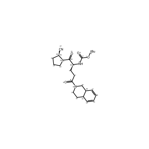 CC(C)(C)OC(=O)N[C@@H](CCC(=O)N1CCC2C=CC=CC2C1)C(=O)N1CCC[C@H]1C#N